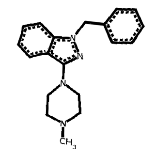 CN1CCN(c2nn(Cc3ccccc3)c3ccccc23)CC1